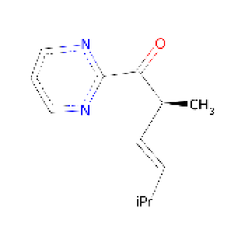 CC(C)/C=C/[C@H](C)C(=O)c1ncccn1